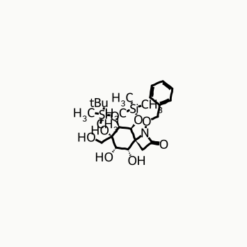 CC(C)(C)[Si](C)(C)O[C@H]1[C@@H](O[Si](C)(C)C)[C@@]2(CC(=O)N2OCc2ccccc2)[C@H](O)[C@H](O)[C@@]1(O)CO